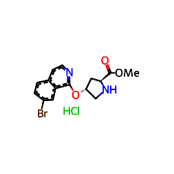 COC(=O)[C@@H]1C[C@@H](Oc2nccc3ccc(Br)cc23)CN1.Cl